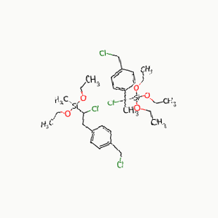 CCO[Si](C)(OCC)C(Cl)Cc1ccc(CCl)cc1.CCO[Si](OCC)(OCC)C(C)(Cl)c1ccc(CCl)cc1